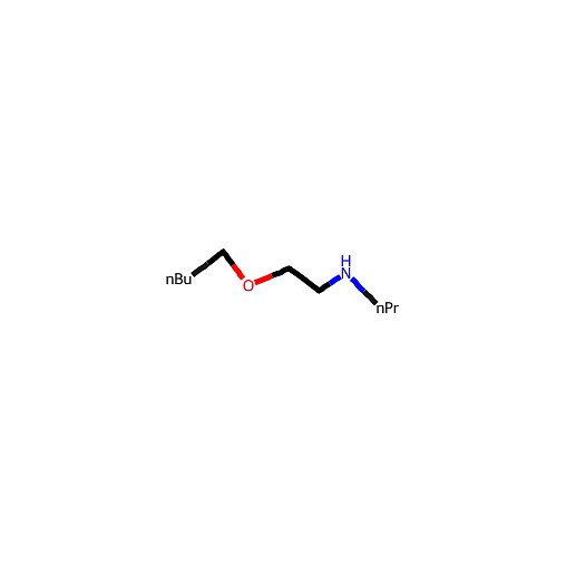 CCCCCOCCNCCC